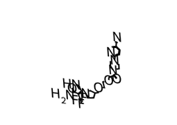 N#Cc1ccc(N2CCN(C(=O)COCCOCC3CCN(/C(C=N)=C(/C(N)=O)C(F)(F)F)C3)CC2)nc1